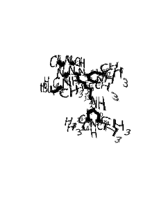 CC(C)(C)CC(C)(C)NC1N=C(Cl)N=C(Cl)N1C(CCCCCNC1CC(C)(C)NC(C)(C)C1)NC1CC(C)(C)NC(C)(C)C1